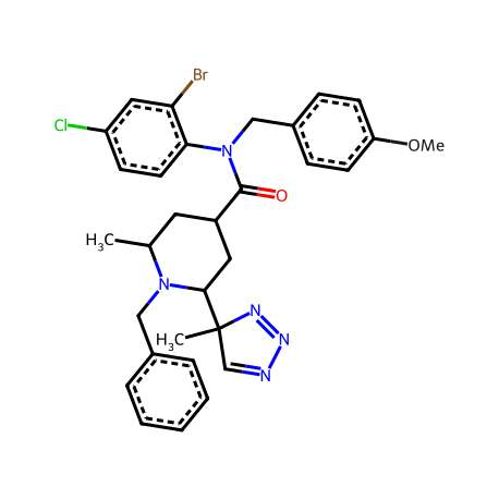 COc1ccc(CN(C(=O)C2CC(C)N(Cc3ccccc3)C(C3(C)C=NN=N3)C2)c2ccc(Cl)cc2Br)cc1